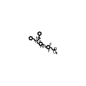 CCOC(=O)CCc1c(F)cc(NCc2ccc(CN(CCc3ccccc3)c3nc(-c4ccccc4)cs3)cc2)cc1F